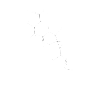 CC=CC(C)C1OC1(C)C(C)C(CC)C(=O)C(C)C(C)CC(=O)CC